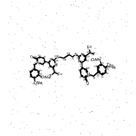 COc1ccc(Cn2cc(-c3cc(C(F)F)nc(SCCCSc4nc(-c5ccc(=O)n(Cc6ccc(OC)c(OC)c6)c5)cc(C(F)F)n4)n3)ccc2=O)cc1OC